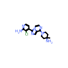 CC1(N)CCN(c2nccn3c(-c4ccnc(N)c4Cl)ncc23)CC1